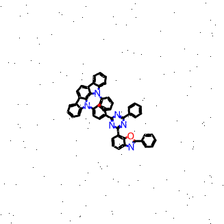 c1ccc(-c2nc(-c3ccc(-n4c5ccccc5c5ccc6c7ccccc7n(-c7ccccc7)c6c54)cc3)nc(-c3cccc4nc(-c5ccccc5)oc34)n2)cc1